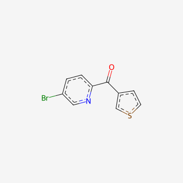 O=C(c1ccsc1)c1ccc(Br)cn1